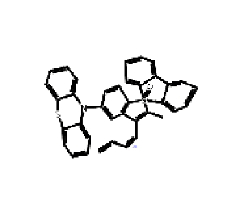 C=C/C=C\C1=C(C)S2(=O)(c3ccc(N4c5ccccc5Sc5ccccc54)cc31)c1ccccc1-c1ccccc12